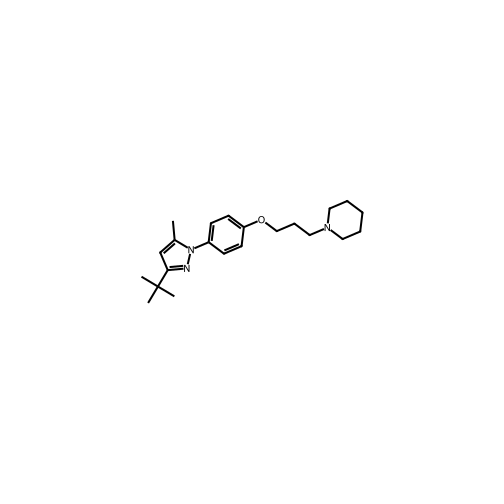 Cc1cc(C(C)(C)C)nn1-c1ccc(OCCCN2CCCCC2)cc1